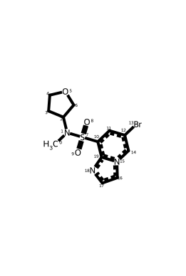 CN(C1CCOC1)S(=O)(=O)c1cc(Br)cn2ccnc12